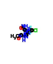 CC(=O)N1CCC[C@@H](Nc2ncc3nc(Nc4c(F)cc(Cl)cc4F)n([C@H]4CC[C@@H](C(N)=O)CC4)c3n2)C1